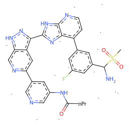 CCCC(=O)Nc1cncc(-c2cc3c(-c4nc5c(-c6cc(F)cc(C(N)S(C)(=O)=O)c6)ccnc5[nH]4)n[nH]c3cn2)c1